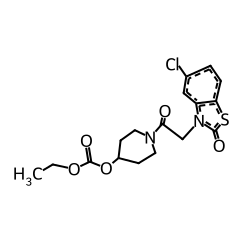 CCOC(=O)OC1CCN(C(=O)Cn2c(=O)sc3ccc(Cl)cc32)CC1